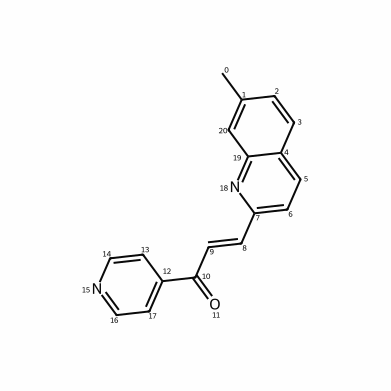 Cc1ccc2ccc(C=CC(=O)c3ccncc3)nc2c1